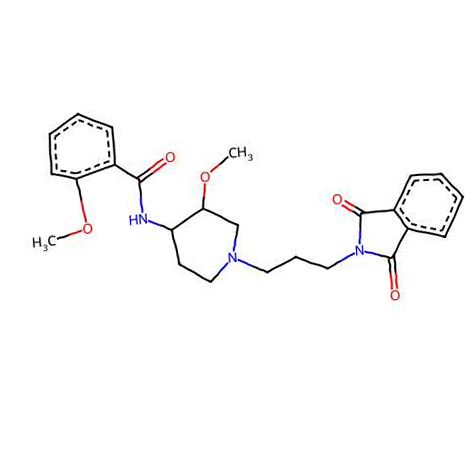 COc1ccccc1C(=O)NC1CCN(CCCN2C(=O)c3ccccc3C2=O)CC1OC